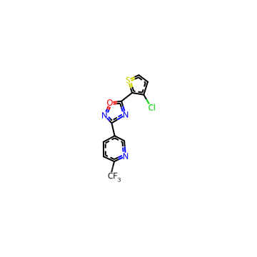 FC(F)(F)c1ccc(-c2noc(-c3sccc3Cl)n2)cn1